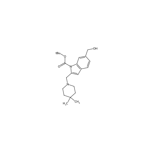 CC1(C)CCN(Cc2cc3ccc(CO)cc3n2C(=O)OC(C)(C)C)CC1